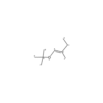 CCC(C)=COC(C)(C)C